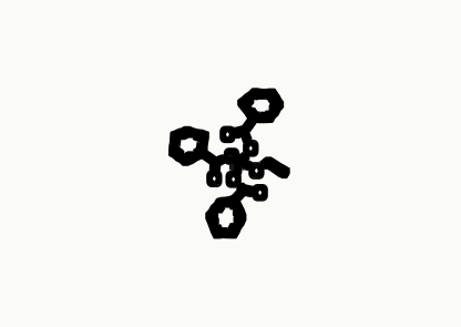 C=CO[Si](OC(=O)c1ccccc1)(OC(=O)c1ccccc1)OC(=O)c1ccccc1